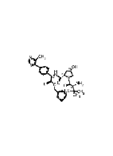 Cc1ncsc1-c1ccc([C@@H](NC(=O)[C@@H]2C[C@@H](O)CN2C(=O)[C@@H](N)C(C)(C)C)C(=O)OCc2ccccc2)cc1